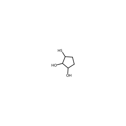 OC1CCC(S)C1O